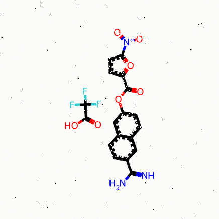 N=C(N)c1ccc2cc(OC(=O)c3ccc([N+](=O)[O-])o3)ccc2c1.O=C(O)C(F)(F)F